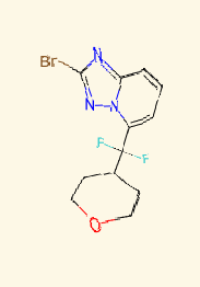 FC(F)(c1cccc2nc(Br)nn12)C1CCOCC1